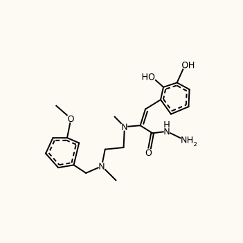 COc1cccc(CN(C)CCN(C)/C(=C/c2cccc(O)c2O)C(=O)NN)c1